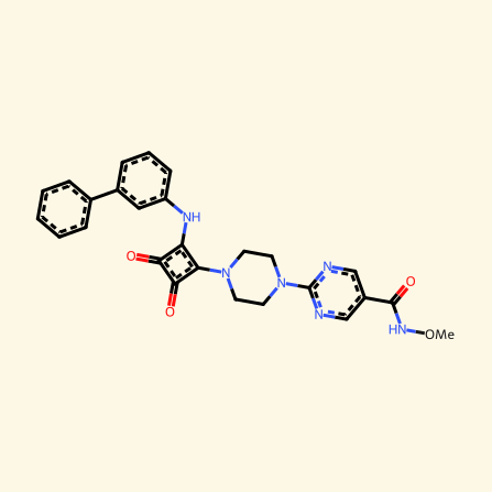 CONC(=O)c1cnc(N2CCN(c3c(Nc4cccc(-c5ccccc5)c4)c(=O)c3=O)CC2)nc1